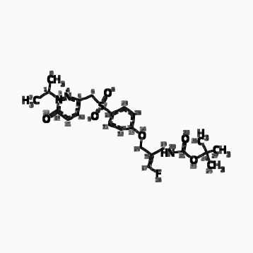 CC(C)n1nc(CS(=O)(=O)c2ccc(OC/C(=C/F)CNC(=O)OC(C)(C)C)cc2)ccc1=O